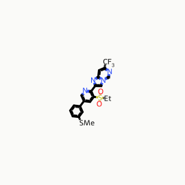 CCS(=O)(=O)c1cc(-c2cccc(SC)c2)cnc1-c1cn2cnc(C(F)(F)F)cc2n1